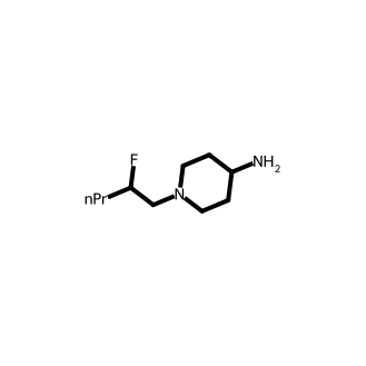 CCCC(F)CN1CCC(N)CC1